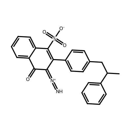 CC(Cc1ccc(C2=C(S(=O)(=O)[O-])c3ccccc3C(=O)C2=[N+]=N)cc1)c1ccccc1